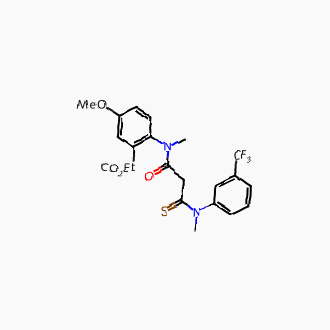 CCOC(=O)c1cc(OC)ccc1N(C)C(=O)CC(=S)N(C)c1cccc(C(F)(F)F)c1